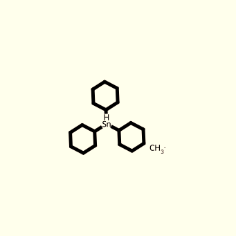 C1CC[CH]([SnH]([CH]2CCCCC2)[CH]2CCCCC2)CC1.[CH3]